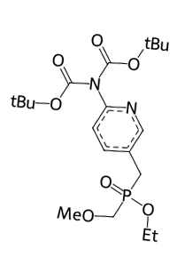 CCOP(=O)(COC)Cc1ccc(N(C(=O)OC(C)(C)C)C(=O)OC(C)(C)C)nc1